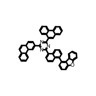 C1=CC2C=Cc3ccccc3C2C=C1c1nc(-c2cccc3c(-c4cccc5oc6ccccc6c45)cccc23)nc(-c2cc3ccccc3c3ccccc23)n1